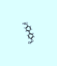 CCCCc1ccc(-c2ccc(OCC)cc2)cc1